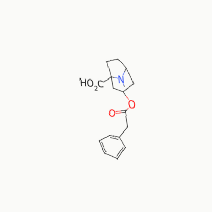 CN1C2CCC1(C(=O)O)CC(OC(=O)Cc1ccccc1)C2